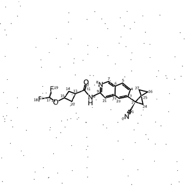 N#C[C@]1(c2ccc3cnc(NC(=O)C4CC(OC(F)F)C4)cc3c2)CC12CC2